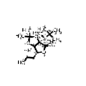 CC1(C)O[C@@H]2[C@H](CCO)OC(=O)[C@]2([Si](C)(C)C(C)(C)C)O1